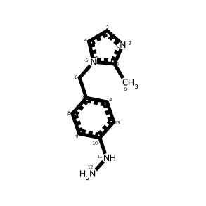 Cc1nccn1Cc1ccc(NN)cc1